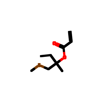 C=CC(=O)OC(C)(CC)CSC